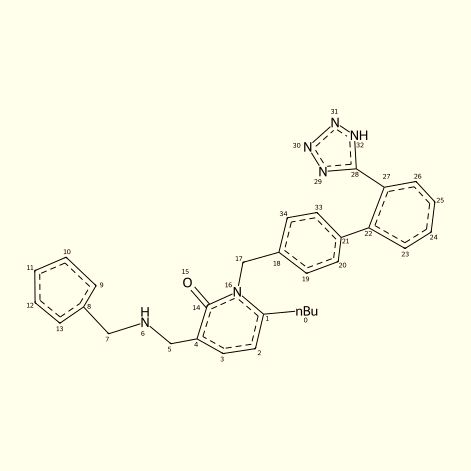 CCCCc1ccc(CNCc2ccccc2)c(=O)n1Cc1ccc(-c2ccccc2-c2nnn[nH]2)cc1